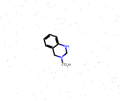 O=C(O)N1CNc2ccccc2C1